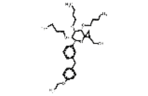 CCCCO[C@@H]1[C@@H](OCCCC)[C@H](OCCCC)C2(CC2CO)O[C@H]1c1cccc(Cc2ccc(OCC)cc2)c1